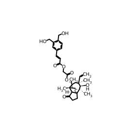 C=C[C@]1(C)C[C@@H](OC(=O)COC(=O)/C=C/c2ccc(CO)c(CO)c2)[C@]2(C)[C@H](C)CC[C@]3(CCC(=O)[C@H]32)[C@@H](C)[C@@H]1O